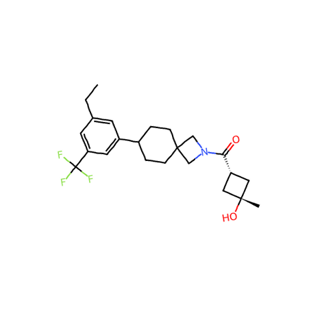 CCc1cc(C2CCC3(CC2)CN(C(=O)[C@H]2C[C@@](C)(O)C2)C3)cc(C(F)(F)F)c1